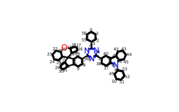 c1ccc(-c2nc(-c3ccc4c(c3)C3(c5ccccc5Oc5ccccc53)c3ccccc3-4)nc(-c3ccc4c(c3)c3ccccc3n4-c3ccccc3)n2)cc1